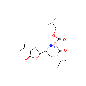 CC(C)COC(=O)OC(=O)[C@@H](C[C@@H](N)C1C[C@@H](C(C)C)C(=O)O1)C(C)C